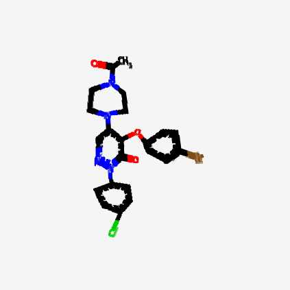 CC(=O)N1CCN(c2cnn(-c3ccc(Cl)cc3)c(=O)c2Oc2ccc(Br)cc2)CC1